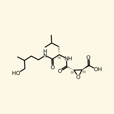 CC(C)C[C@H](NC(=O)[C@H]1O[C@@H]1C(=O)O)C(=O)NCCC(C)CO